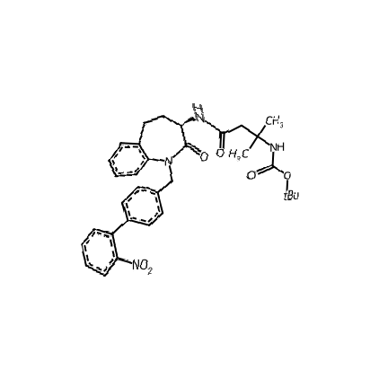 CC(C)(CC(=O)N[C@@H]1CCc2ccccc2N(Cc2ccc(-c3ccccc3[N+](=O)[O-])cc2)C1=O)NC(=O)OC(C)(C)C